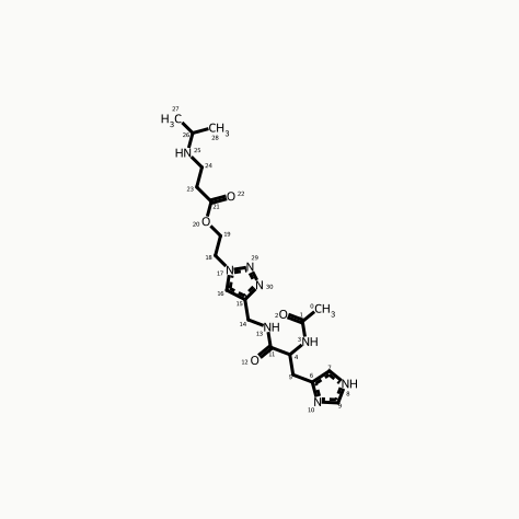 CC(=O)NC(Cc1c[nH]cn1)C(=O)NCc1cn(CCOC(=O)CCNC(C)C)nn1